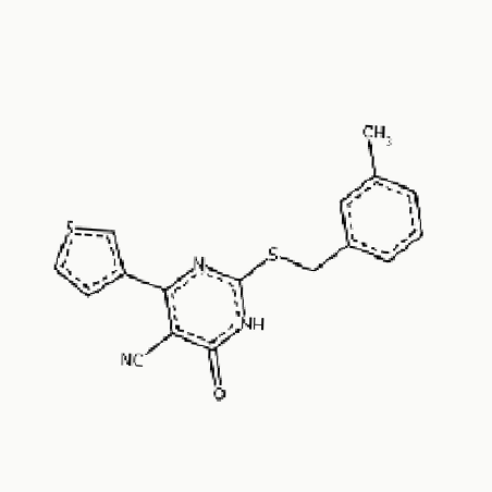 Cc1cccc(CSc2nc(-c3ccsc3)c(C#N)c(=O)[nH]2)c1